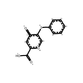 O=C(O)c1cc(=O)c(Sc2ccccc2)co1